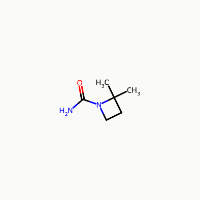 CC1(C)CCN1C(N)=O